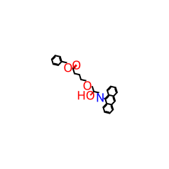 O=C(CCCCOCC(O)/C=N/c1c2ccccc2cc2ccccc12)OCc1ccccc1